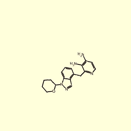 Nc1ccnc(Cc2cccc3c2cnn3C2CCCCO2)c1N